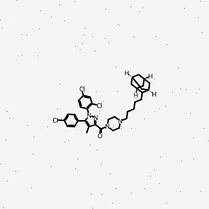 Cc1c(C(=O)N2CCN(CCCCCC3[C@H]4C[C@@H]5C[C@@H](C[C@H]3C5)C4)CC2)nn(-c2ccc(Cl)cc2Cl)c1-c1ccc(Cl)cc1